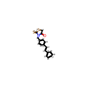 O=C1CSC(=S)N1Cc1ccc(/C=C/c2ccccc2)cc1